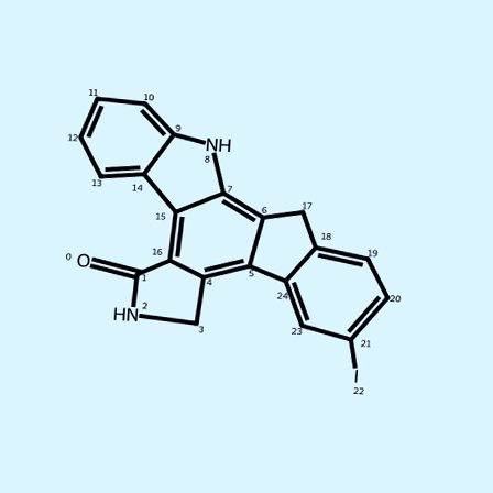 O=C1NCc2c3c(c4[nH]c5ccccc5c4c21)Cc1ccc(I)cc1-3